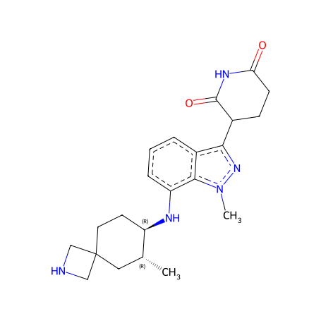 C[C@@H]1CC2(CC[C@H]1Nc1cccc3c(C4CCC(=O)NC4=O)nn(C)c13)CNC2